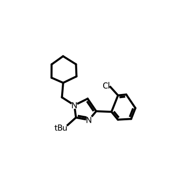 CC(C)(C)c1nc(-c2ccccc2Cl)cn1CC1CCCCC1